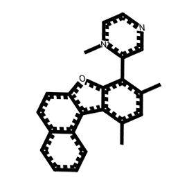 Cc1cc(C)c2c(oc3ccc4ccccc4c32)c1-c1cncc[n+]1C